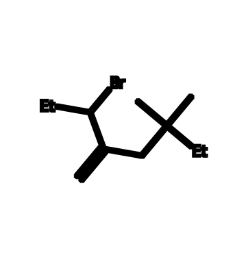 C=C(CC(C)(C)CC)C(Br)CC